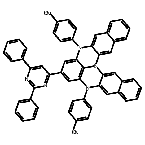 CC(C)(C)c1ccc(N2c3cc4ccccc4cc3B3c4cc5ccccc5cc4N(c4ccc(C(C)(C)C)cc4)c4cc(-c5cc(-c6ccccc6)nc(-c6ccccc6)n5)cc2c43)cc1